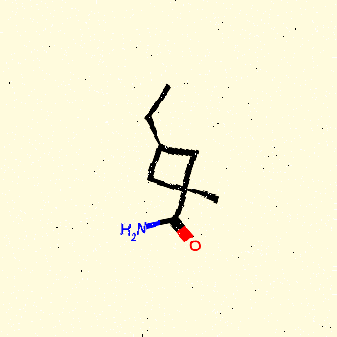 CC[C@H]1C[C@](C)(C(N)=O)C1